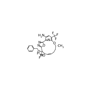 C[C@@H]1CCC=CC(O)C(OCc2ccccc2)(C(F)(F)F)c2nnc(o2)-c2nc(c(C(F)(F)F)cc2N)O1